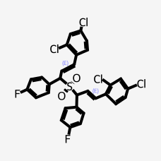 O=S(=O)(C(/C=C/c1ccc(Cl)cc1Cl)c1ccc(F)cc1)C(/C=C/c1ccc(Cl)cc1Cl)c1ccc(F)cc1